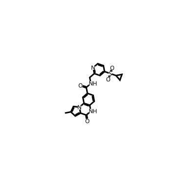 Cc1cc2c(=O)[nH]c3ccc(C(=O)NCc4cc(S(=O)(=O)C5CC5)ccn4)cc3n2c1